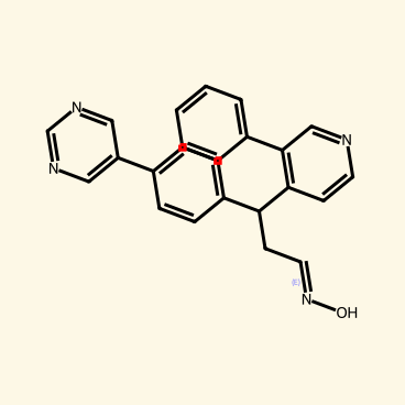 O/N=C/CC(c1ccc(-c2cncnc2)cc1)c1ccncc1-c1ccccc1